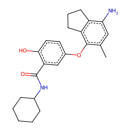 Cc1cc(N)c2c(c1Oc1ccc(O)c(C(=O)NC3CCCCC3)c1)CCC2